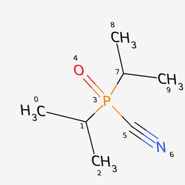 CC(C)P(=O)(C#N)C(C)C